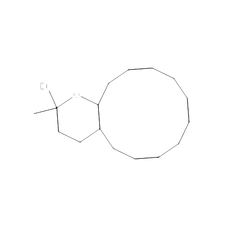 CCC1(C)CCC2CCCCCCCCCCC2O1